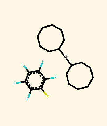 C1CCC[CH]([Al+][CH]2CCCCCCC2)CCC1.Fc1c(F)c(F)c([S-])c(F)c1F